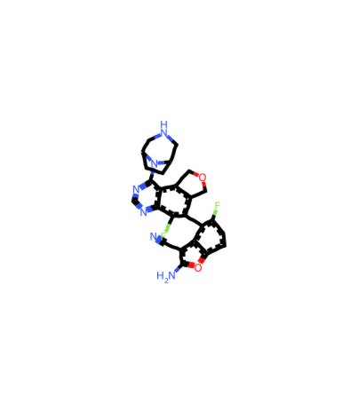 N#Cc1c(N)oc2ccc(F)c(-c3c4c(c5c(N6C7CCC6CNC7)ncnc5c3F)COC4)c12